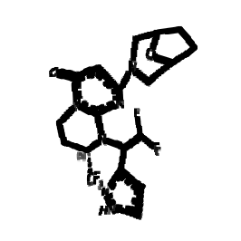 O=c1cc(N2CC3CCC(C2)O3)nc2n1CC[C@@H](C(F)(F)F)N2C(c1cc[nH]n1)C(F)F